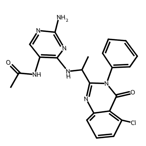 CC(=O)Nc1cnc(N)nc1NC(C)c1nc2cccc(Cl)c2c(=O)n1-c1ccccc1